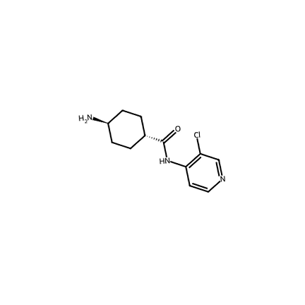 N[C@H]1CC[C@H](C(=O)Nc2ccncc2Cl)CC1